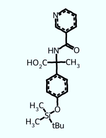 CC(NC(=O)c1cccnc1)(C(=O)O)c1ccc(O[Si](C)(C)C(C)(C)C)cc1